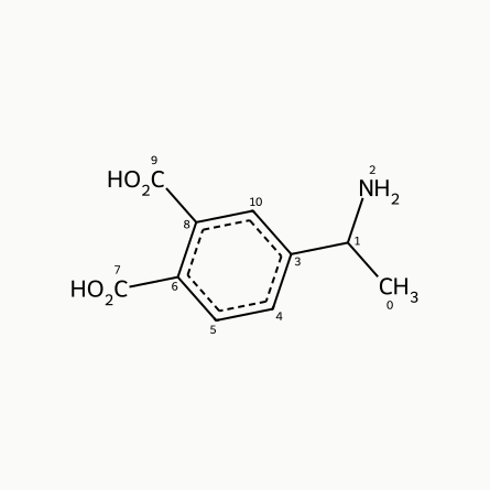 CC(N)c1ccc(C(=O)O)c(C(=O)O)c1